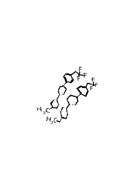 CC[C@H]1CC[C@H]([C@H]2CC[C@H](c3ccc(CC(F)(F)F)cc3)CC2)CC1.C[C@H]1CC[C@H]([C@H]2CC[C@H](c3ccc(CC(F)(F)F)cc3)CC2)CC1